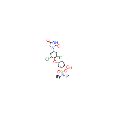 CC(C)N(C(C)C)S(=O)(=O)c1cc(Oc2c(Cl)cc(N3CC(=O)NC3=O)cc2Cl)ccc1O